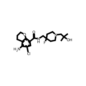 CC(C)(O)CN1CCC(F)(CNC(=O)c2cc(Cl)c(N)c3c2OCCC3)CC1